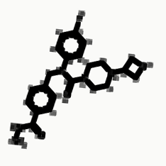 NNC(=O)c1ccc(CN(C(=O)N2CCN(C3COC3)CC2)c2ccc(F)cc2)cc1